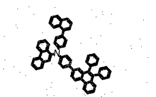 c1ccc(-c2c(-c3ccccc3)c3cc(-c4ccc(N(c5ccc(-c6cccc7ccccc67)cc5)c5cc6ccccc6c6ccccc56)cc4)ccc3c3ccccc23)cc1